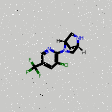 FC(F)(F)c1cnc(N2C[C@@H]3C[C@H]2CN3)c(Cl)c1